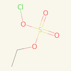 CCOS(=O)(=O)OCl